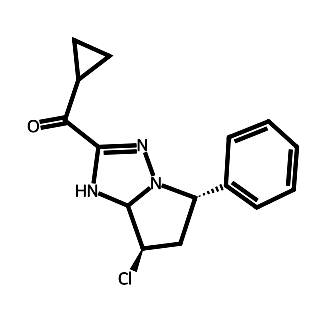 O=C(C1=NN2C(N1)[C@H](Cl)C[C@H]2c1ccccc1)C1CC1